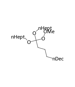 CCCCCCCCCCCCCC(OCCCCCCC)(OCCCCCCC)OOC